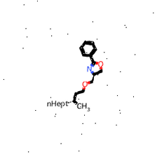 CCCCCCC[C@@H](C)CCOC[C@@H]1COC(c2ccccc2)=N1